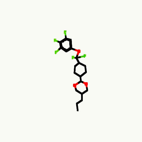 CCCC1COC(C2CCC(C(F)(F)Oc3cc(F)c(F)c(F)c3)CC2)OC1